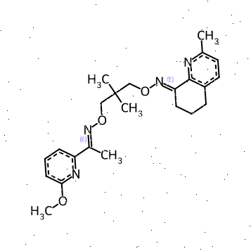 COc1cccc(/C(C)=N/OCC(C)(C)CO/N=C2\CCCc3ccc(C)nc32)n1